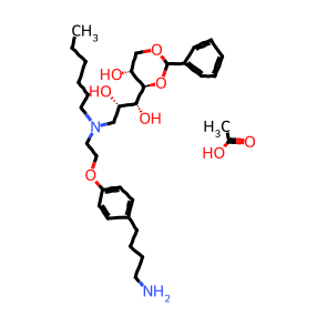 CC(=O)O.CCCCCCN(CCOc1ccc(CCCCN)cc1)C[C@H](O)[C@@H](O)[C@@H]1OC(c2ccccc2)OC[C@H]1O